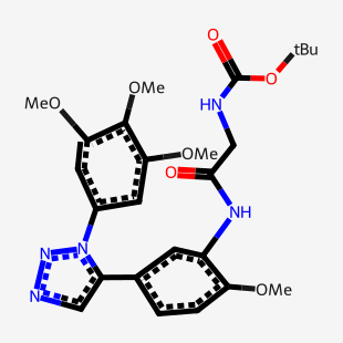 COc1ccc(-c2cnnn2-c2cc(OC)c(OC)c(OC)c2)cc1NC(=O)CNC(=O)OC(C)(C)C